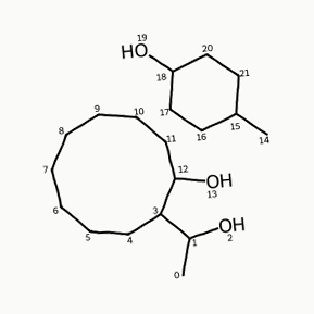 CC(O)C1CCCCCCCCC1O.CC1CCC(O)CC1